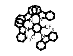 Cc1c(-n2c3ccccc3c3ccccc32)c(-n2c3ccccc3c3ccccc32)c(-n2c3ccccc3c3ccccc32)c(C(F)(F)F)c1-n1c2ccccc2c2ccccc21